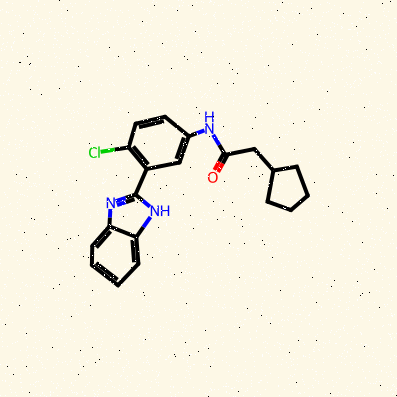 O=C(CC1CCCC1)Nc1ccc(Cl)c(-c2nc3ccccc3[nH]2)c1